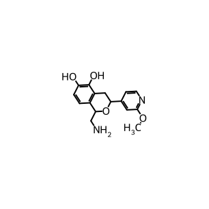 COc1cc(C2Cc3c(ccc(O)c3O)C(CN)O2)ccn1